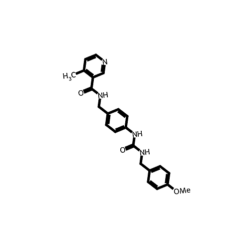 COc1ccc(CNC(=O)Nc2ccc(CNC(=O)c3cnccc3C)cc2)cc1